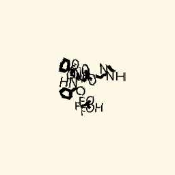 O=C(C[C@@H](NC(=O)c1ccccc1)NS(=O)(=O)c1ccccc1)OCCc1ncc[nH]1.O=C(O)C(F)(F)F